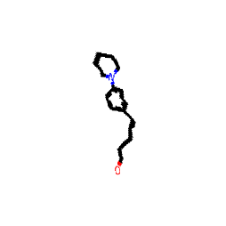 O=CC=CC=Cc1ccc(N2CCCCC2)cc1